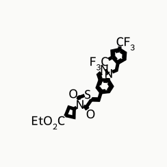 CCOC(=O)C1CC(N2C(=O)SC(=Cc3ccc4c(cnn4Cc4ccc(C(F)(F)F)cc4C(F)(F)F)c3)C2=O)C1